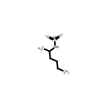 [CH2]CCCC(C)N[SH](=O)=O